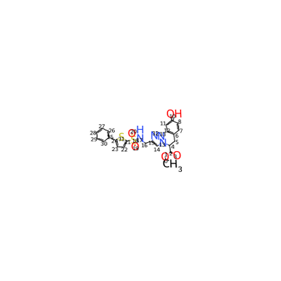 COC(=O)C(Cc1ccc(O)cc1)n1cc(CNS(=O)(=O)c2ccc(-c3ccccc3)s2)nn1